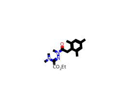 CCOC(=O)C(=NN(C)C(=O)Cc1c(C)cc(C)cc1C)N(C)C